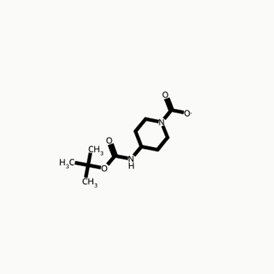 CC(C)(C)OC(=O)NC1CCN(C([O])=O)CC1